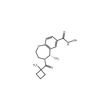 C[C@H]1c2cc(C(=O)NO)ccc2OCCN1C(=O)C1(C)CCC1